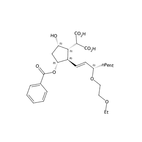 CCCCC[C@@H](C=C[C@@H]1[C@@H](C(C(=O)O)C(=O)O)[C@@H](O)C[C@H]1OC(=O)c1ccccc1)OCCOCC